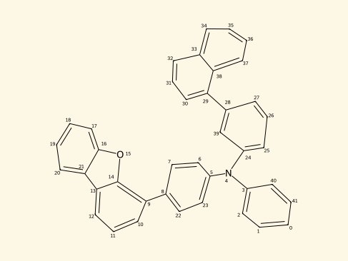 c1ccc(N(c2ccc(-c3cccc4c3oc3ccccc34)cc2)c2cccc(-c3cccc4ccccc34)c2)cc1